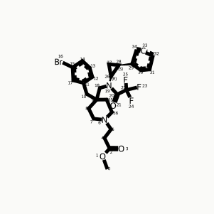 COC(=O)CCN1CCC(Cc2cccc(Br)c2)(CN(C(=O)C(F)(F)F)[C@@H]2C[C@H]2c2ccccc2)CC1